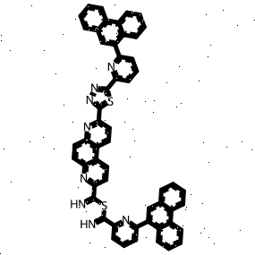 N=C(SC(=N)c1ccc2c(ccc3nc(-c4nnc(-c5cccc(-c6cc7ccccc7c7ccccc67)n5)s4)ccc32)n1)c1cccc(-c2cc3ccccc3c3ccccc23)n1